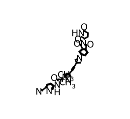 CC(C)(C(=O)Nc1ccc(C#N)nc1)n1cc(C#CC2CN(c3ccc4c(c3)C(=O)N(C3CCC(=O)NC3=O)C4=O)C2)cn1